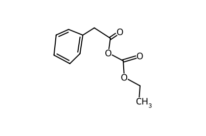 CCOC(=O)OC(=O)Cc1ccccc1